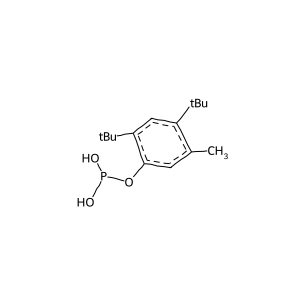 Cc1cc(OP(O)O)c(C(C)(C)C)cc1C(C)(C)C